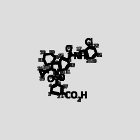 O=C(O)c1cccc(S(=O)(=O)N2c3ccc(C(=O)NCc4ccccc4Cl)cc3C3(CCCCC3)C2C2CC2)c1